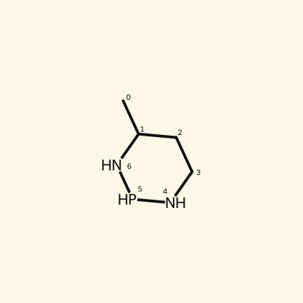 CC1CCNPN1